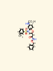 O=C(O)Nc1ccc2c(c1)N(S(=O)(=O)c1cccc(C(F)(F)F)c1)CC(CC(=O)NOCc1ccccc1)O2